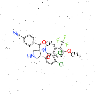 COc1ccc(C(=O)N(C)[C@]2(C(=O)c3ccc(C#N)cc3)CNC[C@H]2c2ccc(Cl)c(Cl)c2)cc1C(F)(F)F